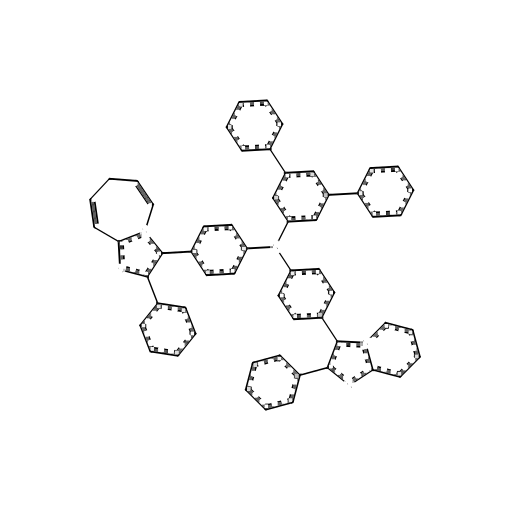 C1=Cc2nc(-c3ccccc3)c(-c3ccc(N(c4ccc(-c5c(-c6ccccc6)nc6ccccn56)cc4)c4cc(-c5ccccc5)cc(-c5ccccc5)c4)cc3)n2C=CC1